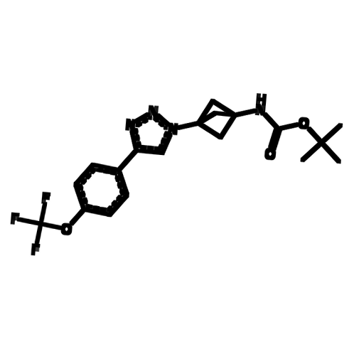 CC(C)(C)OC(=O)NC12CC(n3cc(-c4ccc(OC(F)(F)F)cc4)nn3)(C1)C2